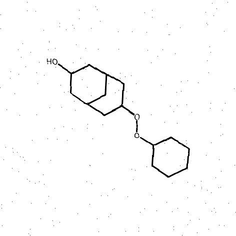 OC1CC2CC(C1)CC(OOC1CCCCC1)C2